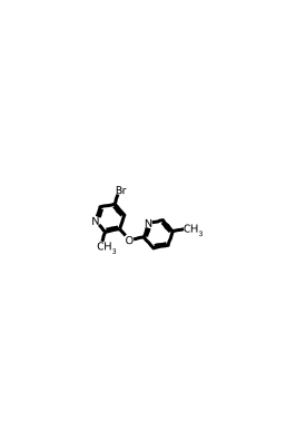 Cc1ccc(Oc2cc(Br)cnc2C)nc1